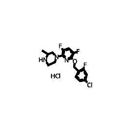 CC1CN(c2nc(OCc3ccc(Cl)cc3F)c(F)cc2F)CCN1.Cl